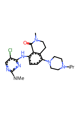 CNc1ncc(Cl)c(Nc2ccc(N3CCN(C(C)C)CC3)c3c2C(=O)N(C)CC3)n1